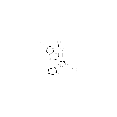 O=C(NC1CC1)c1cc(Cl)cc(Br)c1NC(=O)c1cc(OC2COC2)nn1-c1ncccc1Cl